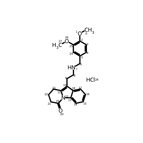 COc1ccc(CNCCc2c3n(c4ccccc24)C(=O)CCC3)cc1OC.Cl